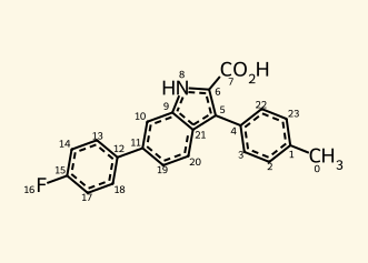 Cc1ccc(-c2c(C(=O)O)[nH]c3cc(-c4ccc(F)cc4)ccc23)cc1